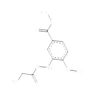 CCC(=O)ONc1cc(C(=O)OC)ccc1OC